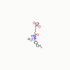 C/C(=N\NC(=O)CCCCCN1C(=O)C=CC1=O)c1ccc(C)cc1